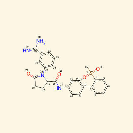 CS(=O)(=O)c1ccccc1-c1ccc(NC(=O)C2CCC(=O)N2c2cccc(C(=N)N)c2)cc1